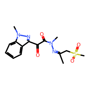 CC(CS(C)(=O)=O)=NN(C)C(=O)C(=O)c1nn(C)c2ccccc12